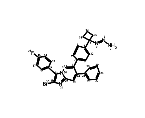 NN=NC1(c2ccc(-c3nn4c(-c5ccc(F)cc5)c(Br)nc4cc3-c3ccccc3)cc2)CCC1